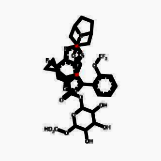 O=C(O)OC1OC(OC(=O)c2cc(F)c3nc(N4C5CCC4CC(OCc4c(-c6ccccc6OC(F)(F)F)noc4C4CC4)C5)sc3c2)C(O)C(O)C1O